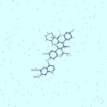 COc1cc2nccc(Oc3ccc(-c4c(C(N)=O)c(=O)c(-c5ccc(F)cc5)c(C(N)=O)n4CC4CCOCC4)cc3F)c2cc1OC